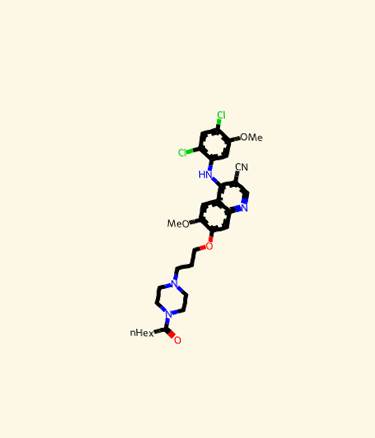 CCCCCCC(=O)N1CCN(CCCOc2cc3ncc(C#N)c(Nc4cc(OC)c(Cl)cc4Cl)c3cc2OC)CC1